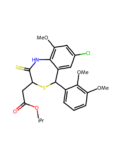 COc1cc(Cl)cc2c1NC(=S)C(CC(=O)OC(C)C)SC2c1cccc(OC)c1OC